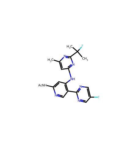 CC(=O)Nc1cc(Nc2cc(C)nc(C(C)(C)F)n2)c(-c2ncc(F)cn2)cn1